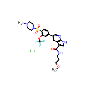 COCCCNC(=O)c1c[nH]c2ncc(-c3ccc(S(=O)(=O)N4CCN(C)CC4)c(OC(F)(F)F)c3)cc12.Cl